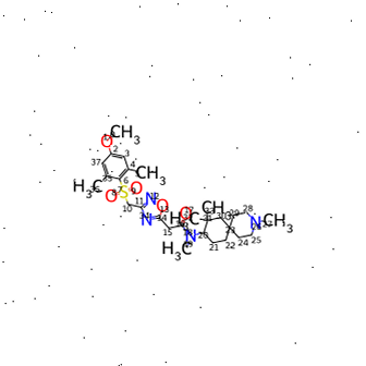 COc1cc(C)c(S(=O)(=O)Cc2noc(CC(=O)N(C)C3CCC4(CCN(C)CC4)CC3(C)C)n2)c(C)c1